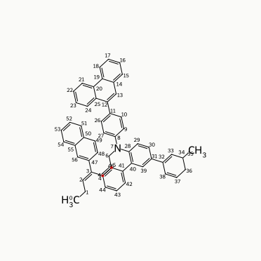 CC/C=C(\C=C/CN(c1ccc(-c2cc3ccccc3c3ccccc23)cc1)c1ccc(C2=CC(C)CC=C2)cc1-c1ccccc1)c1ccc2ccccc2c1